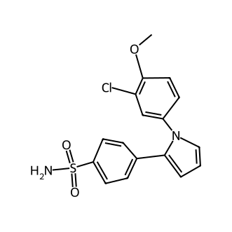 COc1ccc(-n2cccc2-c2ccc(S(N)(=O)=O)cc2)cc1Cl